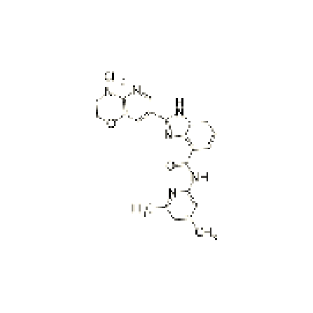 Cc1cc(C)nc(NC(=O)c2cccc3[nH]c(-c4cnc5c(c4)OCCN5C)nc23)c1